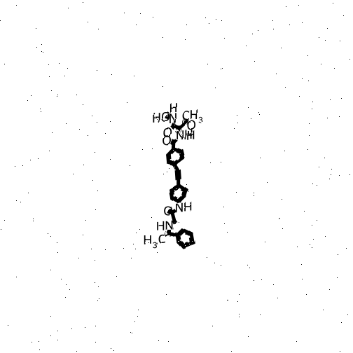 C[C@H](NCC(=O)Nc1ccc(C#Cc2ccc(C(=O)N[C@H](C(=O)NO)[C@@H](C)O)cc2)cc1)c1ccccc1